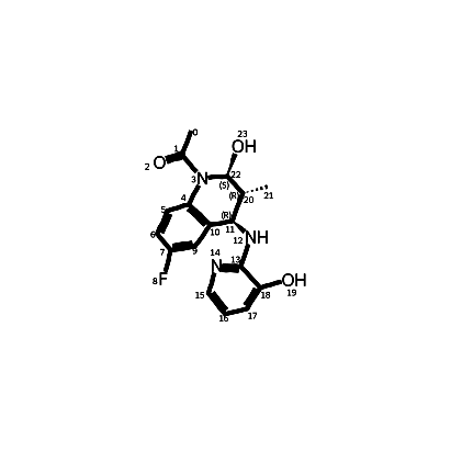 CC(=O)N1c2ccc(F)cc2[C@H](Nc2ncccc2O)[C@@H](C)[C@@H]1O